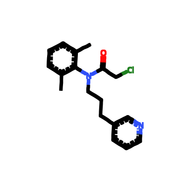 Cc1cccc(C)c1N(CCCc1cccnc1)C(=O)CCl